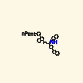 CCCCCc1cccc(C2=C3C=CCCC3C(/C(C)=C/C=C(\CNC3=CC4=C(CCC=C4)CC3)C3=CCC(C4=CCC5C=CC=CC5=C4)CC3)C=C2)c1